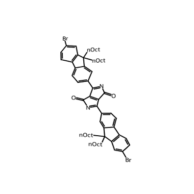 CCCCCCCCC1(CCCCCCCC)c2cc(Br)ccc2-c2ccc(-c3nc(=O)c4c(-c5ccc6c(c5)C(CCCCCCCC)(CCCCCCCC)c5cc(Br)ccc5-6)nc(=O)c3=4)cc21